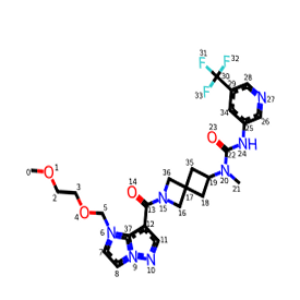 COCCOCn1ccn2ncc(C(=O)N3CC4(CC(N(C)C(=O)Nc5cncc(C(F)(F)F)c5)C4)C3)c12